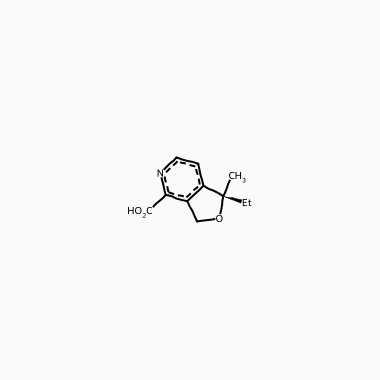 CC[C@@]1(C)OCc2c1ccnc2C(=O)O